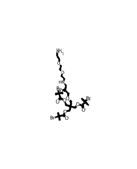 CC(C)(Br)C(=O)OCC(COCC(=O)CNCCOCCOCCN)(COC(=O)C(C)(C)Br)COC(=O)C(C)(C)Br